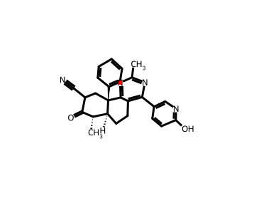 Cc1nc(-c2ccc(O)nc2)c2c(n1)[C@@]1(c3ccccc3)CC(C#N)C(=O)[C@@H](C)[C@@H]1CC2